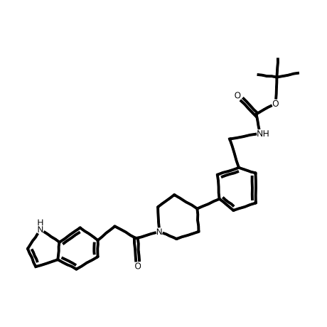 CC(C)(C)OC(=O)NCc1cccc(C2CCN(C(=O)Cc3ccc4cc[nH]c4c3)CC2)c1